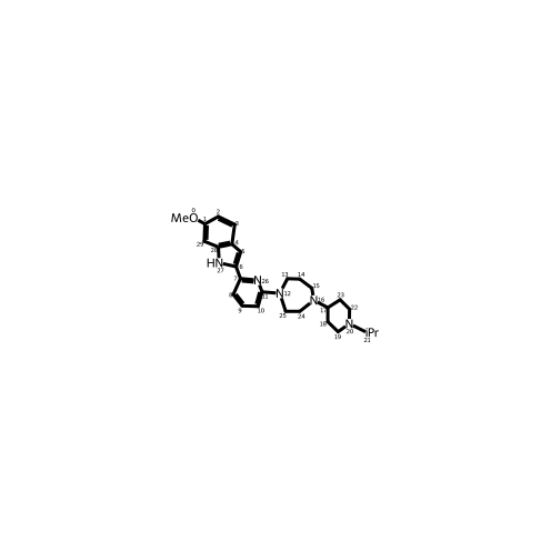 COc1ccc2cc(-c3cccc(N4CCCN(C5CCN(C(C)C)CC5)CC4)n3)[nH]c2c1